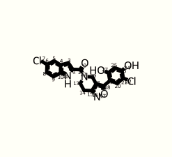 O=C(c1cc2cc(Cl)ccc2[nH]1)N1CCc2noc(-c3cc(Cl)c(O)cc3O)c2C1